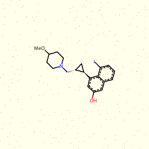 COC1CCN(C[C@@H]2C[C@H]2c2cc(O)cc3cccc(I)c23)CC1